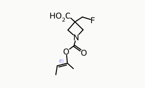 C/C=C(\C)OC(=O)N1CC(CF)(C(=O)O)C1